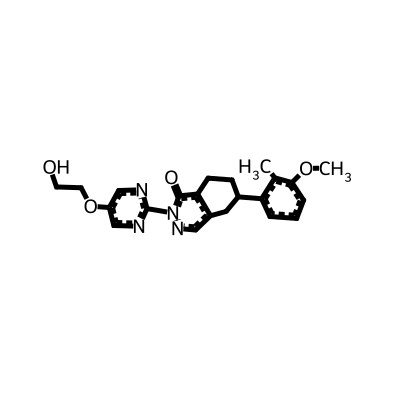 COc1cccc(C2CCc3c(cnn(-c4ncc(OCCO)cn4)c3=O)C2)c1C